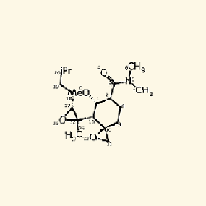 CO[C@@H]1C(C(=O)N(C)C)CC[C@]2(CO2)[C@H]1C1(C)O[C@@H]1CCC(C)C